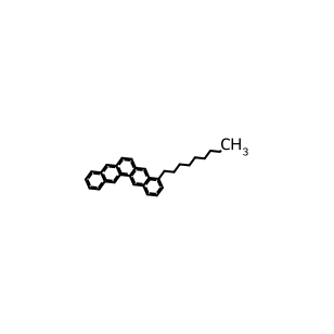 CCCCCCCCCc1cccc2cc3c(ccc4cc5ccccc5cc43)cc12